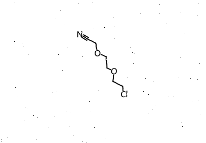 N#CCOCCOCCCl